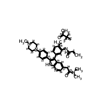 C=CC(=O)Nc1cc(-c2c(-c3ccc(N4CCN(C)CC4)cc3)[nH]c3ncc(CC(=O)N(C)C)cc23)ccc1C.O=C(O)C(F)(F)F